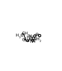 CN(C)C/C=C/C(=O)N1CC2CC(Nc3ncnc(N)c3C(=N)c3ccc(Oc4ccccc4)cc3)C1C2